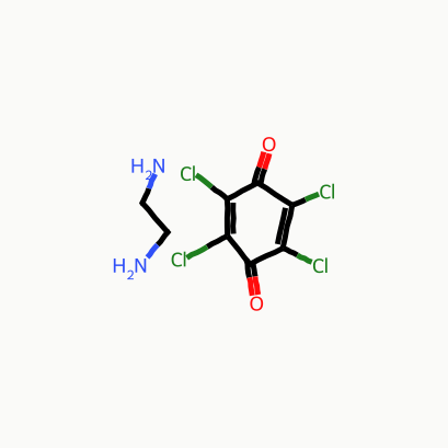 NCCN.O=C1C(Cl)=C(Cl)C(=O)C(Cl)=C1Cl